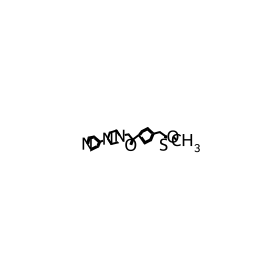 COC(=S)Cc1ccc(C(=O)CN2CCN(c3ccncc3)CC2)cc1